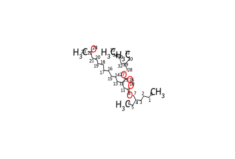 CCCCC(CC)COC(=O)CC(CCCCCCCCCC(C)=O)C(=O)OCC(CC)CCCC